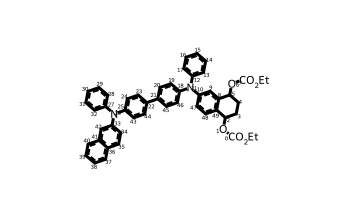 CCOC(=O)OC1CCC(OC(=O)OCC)c2cc(N(c3ccccc3)c3ccc(-c4ccc(N(c5ccccc5)c5ccc6ccccc6c5)cc4)cc3)ccc21